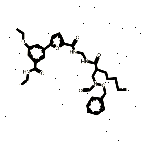 [CH2]CNC(=O)c1cc(OCC)cc(-c2ccc(C(=O)NCNC(=O)C(CCCCC)CN(C=O)OCc3ccccc3)o2)c1